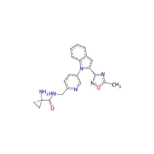 Cc1nc(-c2cc3ccccc3n2-c2ccc(CNC(=O)C3(N)CC3)nc2)no1